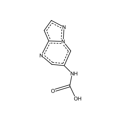 O=C(O)Nc1cnc2ccnn2c1